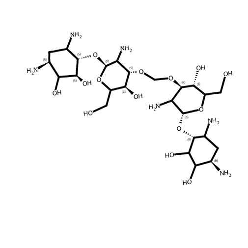 NC1C[C@@H](N)C(O)C(O)[C@@H]1O[C@H]1OC(CO)[C@@H](O)[C@H](OCO[C@H]2C(N)[C@H](O[C@H]3C(N)C[C@H](N)C(O)[C@@H]3O)OC(CO)[C@@H]2O)C1N